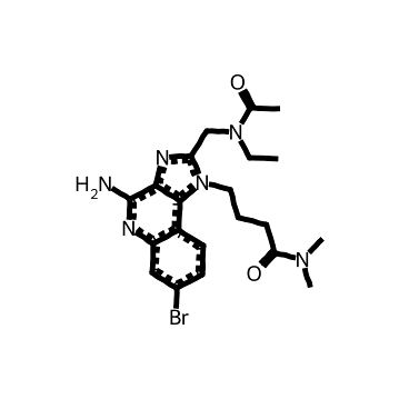 CCN(Cc1nc2c(N)nc3cc(Br)ccc3c2n1CCCC(=O)N(C)C)C(C)=O